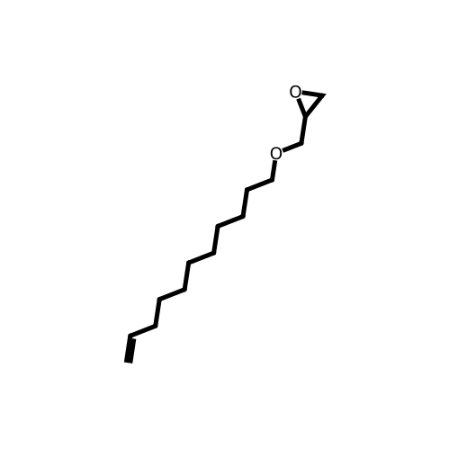 C=CCCCCCCCCCOCC1CO1